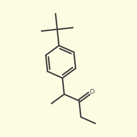 CCC(=O)C(C)c1ccc(C(C)(C)C)cc1